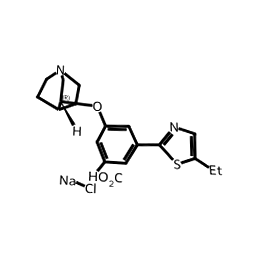 CCc1cnc(-c2cc(O[C@H]3CN4CCC3CC4)cc(C(=O)O)c2)s1.[Na][Cl]